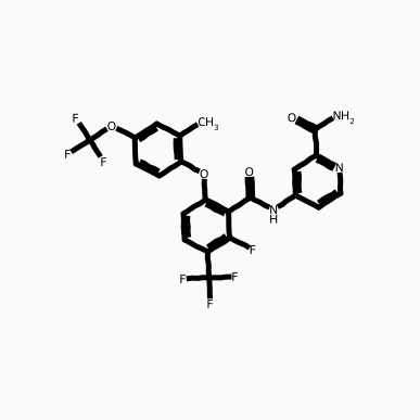 Cc1cc(OC(F)(F)F)ccc1Oc1ccc(C(F)(F)F)c(F)c1C(=O)Nc1ccnc(C(N)=O)c1